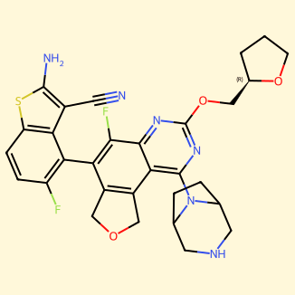 N#Cc1c(N)sc2ccc(F)c(-c3c4c(c5c(N6C7CCC6CNC7)nc(OC[C@H]6CCCO6)nc5c3F)COC4)c12